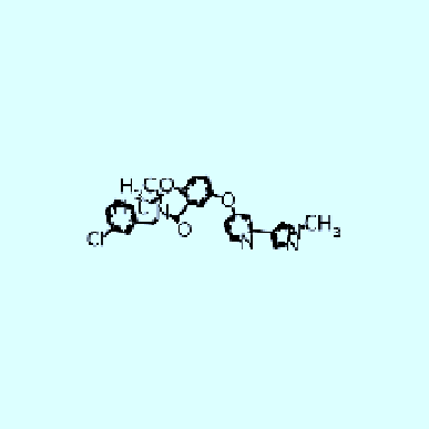 Cn1cc(-c2cc(Oc3ccc4c(c3)C(=O)N(Cc3cccc(Cl)c3)C(C)(C)O4)ccn2)cn1